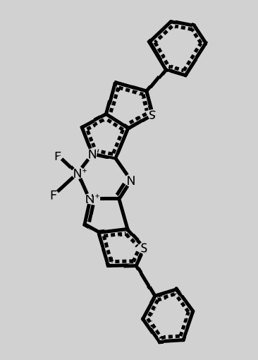 F[N+]1(F)n2cc3cc(-c4ccccc4)sc3c2N=C2c3sc(-c4ccccc4)cc3C=[N+]21